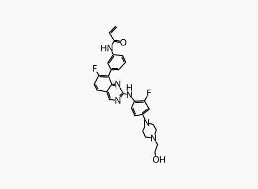 C=CC(=O)Nc1cccc(-c2c(F)ccc3cnc(Nc4ccc(N5CCN(CCO)CC5)cc4F)nc23)c1